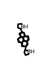 B1CCCC1c1cc2ccc3cc(C4BCCC4)cc4ccc(c1)c2c34